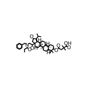 CCC(=O)N(Cc1ccccc1)CC(O)C12CC[C@]3(C)[C@H](CC[C@@H]4[C@@]5(C)CC[C@H](OC(=O)CC(C)(C)C(=O)O)C(C)(C)[C@@H]5CC[C@]43C)C1=C(C(C)C)C(=O)C2